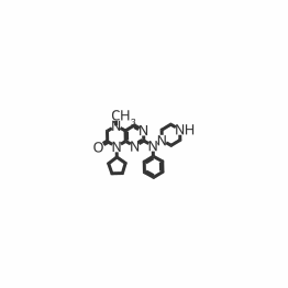 CN1CC(=O)N(C2CCCC2)c2nc(N(c3ccccc3)N3CCNCC3)ncc21